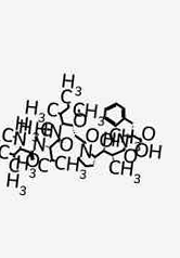 CC[C@H](C)[C@@H]([C@@H](CC(=O)N1CCC[C@H]1[C@H](OC)[C@@H](C)C(=O)N[C@H](Cc1ccccc1)C(=O)O)OC)N(C)C(=O)[C@@H](NC(=O)[C@@H](NC)C(C)C)C(C)C